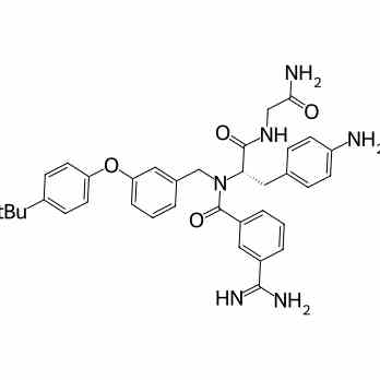 CC(C)(C)c1ccc(Oc2cccc(CN(C(=O)c3cccc(C(=N)N)c3)[C@@H](Cc3ccc(N)cc3)C(=O)NCC(N)=O)c2)cc1